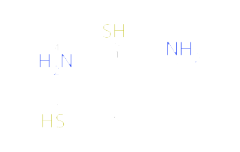 NCCS.NS